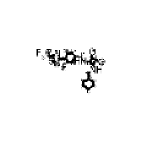 O=c1c(NCc2ccccc2)c(NCc2ccc(-c3noc(C(F)(F)F)n3)c(F)c2)c1=O